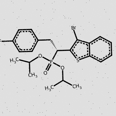 CC(C)OP(=O)(OC(C)C)[C@H](Cc1ccc(F)cc1)c1sc2ccccc2c1Br